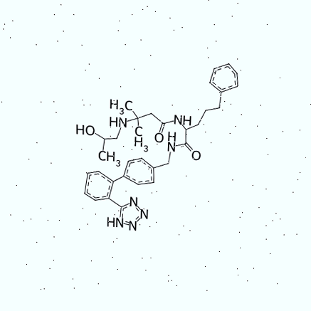 CC(O)CNC(C)(C)CC(=O)NC(CCCc1ccccc1)C(=O)NCc1ccc(-c2ccccc2-c2nnn[nH]2)cc1